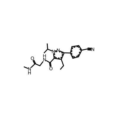 CCc1c(-c2ccc(C#N)cc2)nn(C(C)C)c1C(=O)NCC(=O)NC